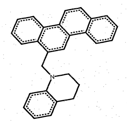 c1ccc2c(c1)CCCN2Cc1cc2c3ccccc3ccc2c2ccccc12